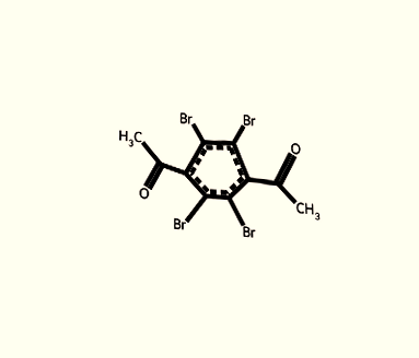 CC(=O)c1c(Br)c(Br)c(C(C)=O)c(Br)c1Br